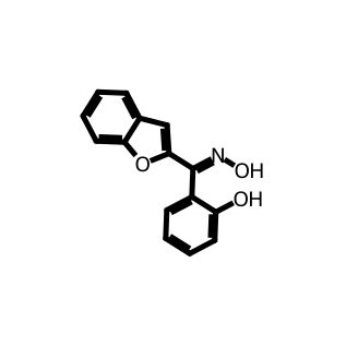 ON=C(c1cc2ccccc2o1)c1ccccc1O